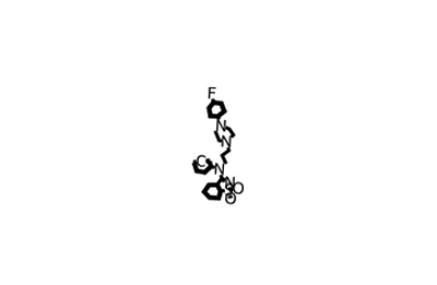 O=S1(=O)N=C(N(CCCN2CCN(c3ccc(F)cc3)CC2)c2ccccc2)c2ccccc21